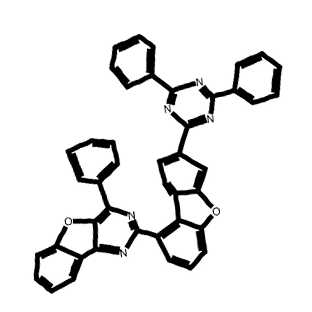 c1ccc(-c2nc(-c3ccccc3)nc(-c3ccc4c(c3)oc3cccc(-c5nc(-c6ccccc6)c6oc7ccccc7c6n5)c34)n2)cc1